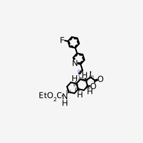 CCOC(=O)N[C@@H]1CC[C@@H]2[C@@H](C1)C[C@H]1OC(=O)[C@H](C)[C@H]1[C@H]2/C=C/c1ccc(-c2cccc(F)c2)cn1